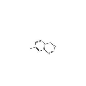 Cc1ccc2c(c1)N=COC2